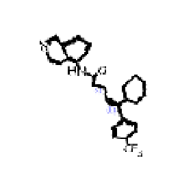 O=C(/C=C/C=C(/c1ccc(C(F)(F)F)cc1)C1CCCCC1)Nc1cccc2cnccc12